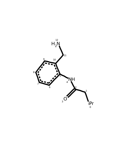 CC(C)CC(=O)Nc1ccccc1CN